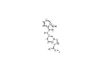 CC(=O)c1nsc2cc(Nc3n[nH]c4cccnc34)ccc12